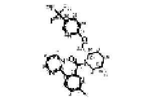 Cc1ccc(-c2ncccn2)c(C(=O)N2C[C@@H](C)CC[C@H]2COc2ccc(C(F)(F)F)cn2)n1